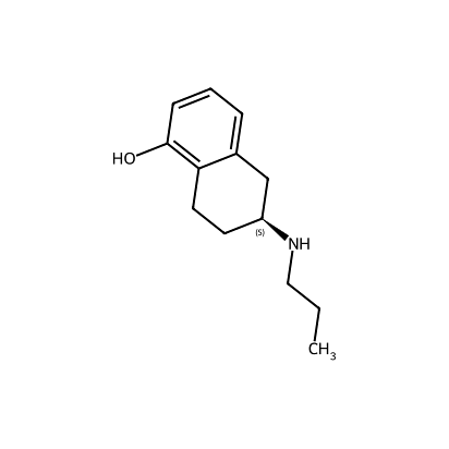 CCCN[C@H]1CCc2c(O)cccc2C1